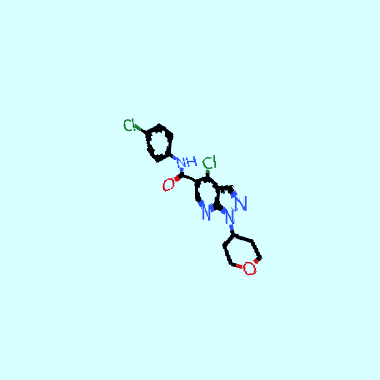 O=C(Nc1ccc(Cl)cc1)c1cnc2c(cnn2C2CCOCC2)c1Cl